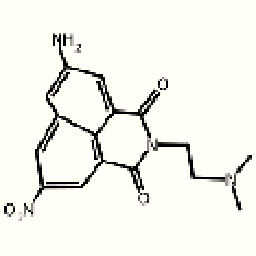 CN(C)CCN1C(=O)c2cc(N)cc3cc([N+](=O)[O-])cc(c23)C1=O